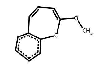 COC1=CC=Cc2ccccc2O1